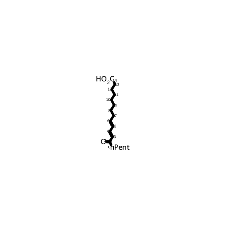 CCCCCC(=O)C=CC=CCCCCCCCC(=O)O